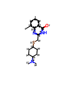 Cc1cccc2c(=O)[nH]c(CSC3CCC(N(C)C)CC3)nc12